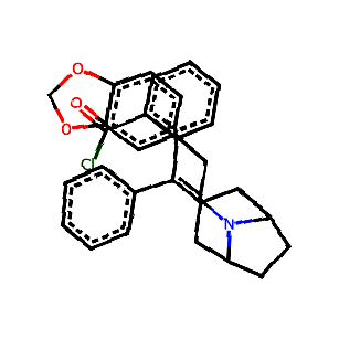 O=C(Cl)c1ccccc1C(=C1CC2CCC(C1)N2CCc1ccc2c(c1)OCO2)c1ccccc1